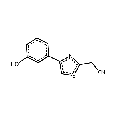 N#CCc1nc(-c2cccc(O)c2)cs1